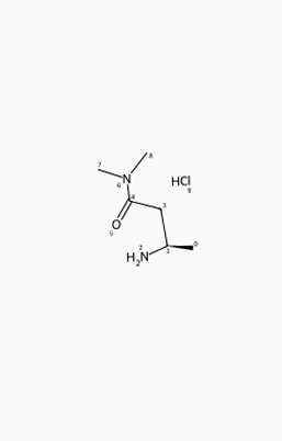 C[C@@H](N)CC(=O)N(C)C.Cl